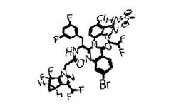 CS(=O)(=O)Nc1nn(CC(F)F)c2c(-n3c([C@H](Cc4cc(F)cc(F)c4)NC(=O)Cn4nc(C(F)F)c5c4C(F)(F)[C@@H]4C[C@H]54)nc4cc(Br)ccc4c3=O)ccc(Cl)c12